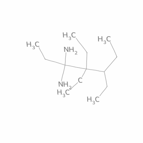 CCC(CC)C(CC)(CC)C(N)(N)CC